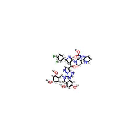 COC(=O)NC1(c2ccccn2)CCCN(c2cnc(-c3ccc(F)c(F)c3)cc2C(O)c2cnn3c(N(Cc4ccc(OC)cc4OC)Cc4ccc(OC)cc4OC)ncnc23)C1